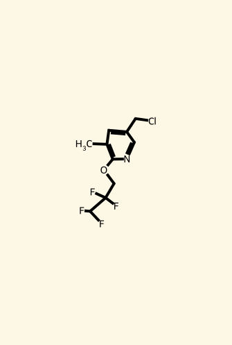 Cc1cc(CCl)cnc1OCC(F)(F)C(F)F